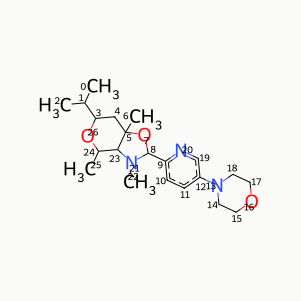 CC(C)C1CC2(C)OC(c3ccc(N4CCOCC4)cn3)N(C)C2C(C)O1